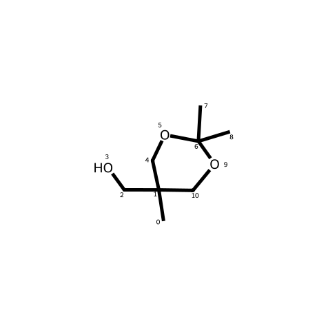 CC1(CO)COC(C)(C)OC1